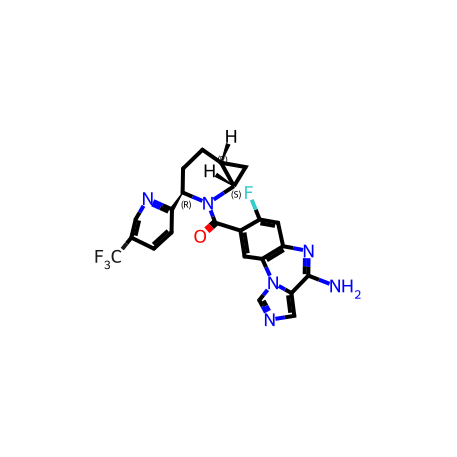 Nc1nc2cc(F)c(C(=O)N3[C@@H](c4ccc(C(F)(F)F)cn4)CC[C@@H]4C[C@@H]43)cc2n2cncc12